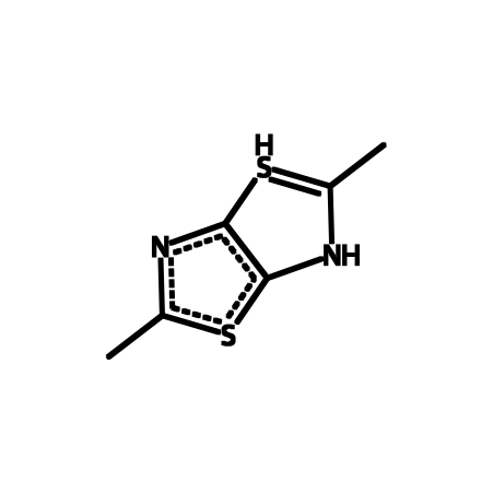 CC1=[SH]c2nc(C)sc2N1